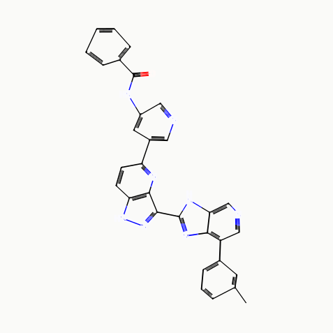 Cc1cccc(-c2cncc3[nH]c(-c4n[nH]c5ccc(-c6cncc(NC(=O)c7ccccc7)c6)nc45)nc23)c1